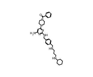 Nc1cc(N2CCN(C(=O)c3ccccc3)CC2)nc(NCc2ccc(CNCCCNC3CCCCC3)cc2)n1